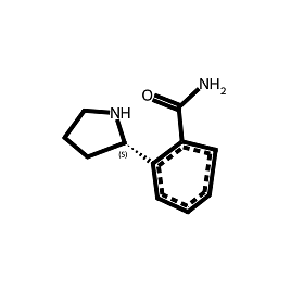 NC(=O)c1ccccc1[C@@H]1CCCN1